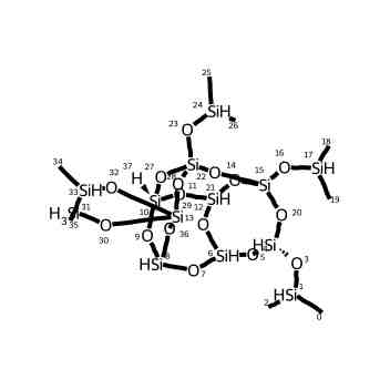 C[SiH](C)O[Si@@H]1O[SiH]2O[SiH]3O[Si@H]4O[SiH](O2)O[Si](O[SiH](C)C)(O1)O[Si](O[SiH](C)C)(O4)O[Si](O[SiH3])(O[SiH](C)C)O3